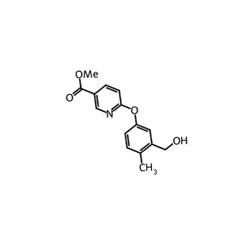 COC(=O)c1ccc(Oc2ccc(C)c(CO)c2)nc1